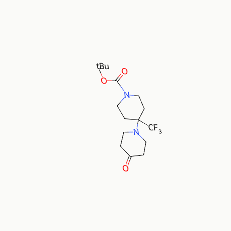 CC(C)(C)OC(=O)N1CCC(N2CCC(=O)CC2)(C(F)(F)F)CC1